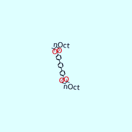 CCCCCCCC[C@@H]1CO[C@@H](c2ccc(-c3ccc(-c4ccc([C@@H]5OC[C@@H](CCCCCCCC)C(C)O5)cc4)cc3)cc2)OC1C